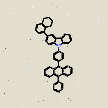 c1ccc(-c2c3ccccc3c(-c3ccc(-n4c5ccccc5c5cc(-c6cccc7c6CCCC7)ccc54)cc3)c3ccccc23)cc1